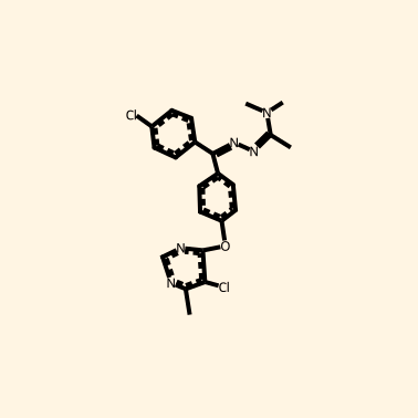 CC(=NN=C(c1ccc(Cl)cc1)c1ccc(Oc2ncnc(C)c2Cl)cc1)N(C)C